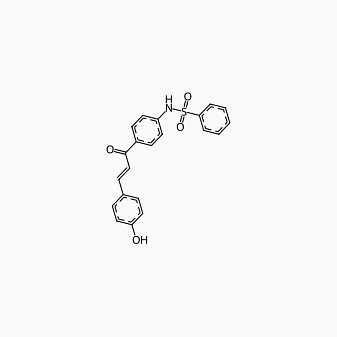 O=C(/C=C/c1ccc(O)cc1)c1ccc(NS(=O)(=O)c2ccccc2)cc1